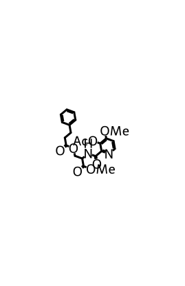 COC(=O)C(COC(=O)CCc1ccccc1)NC(=O)c1nccc(OC)c1OC(C)=O